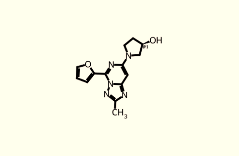 Cc1nc2cc(N3CC[C@@H](O)C3)nc(-c3ccco3)n2n1